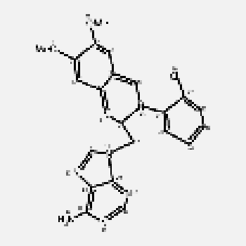 COc1cc2c(cc1OC)=NC(Cn1cnc3c(N)ncnc31)N(c1ccccc1Cl)C=2